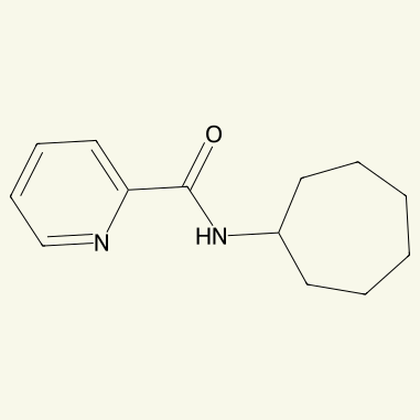 O=C(NC1CCCCCC1)c1ccccn1